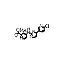 COC(=O)c1cc(Nc2nccc(-c3ccc(Cl)nc3)n2)ccn1